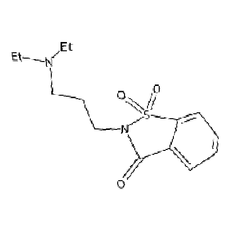 CCN(CC)CCCN1C(=O)c2ccccc2S1(=O)=O